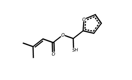 CC(C)=CC(=O)OC(S)c1ccco1